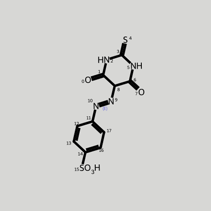 O=C1NC(=S)NC(=O)C1/N=N/c1ccc(S(=O)(=O)O)cc1